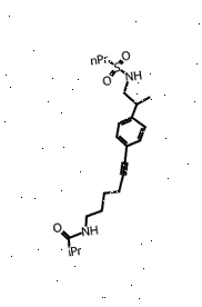 CCCS(=O)(=O)NCC(C)c1ccc(C#CCCCCNC(=O)C(C)C)cc1